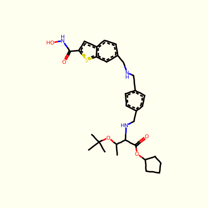 CC(OC(C)(C)C)C(NCc1ccc(CNCc2ccc3cc(C(=O)NO)sc3c2)cc1)C(=O)OC1CCCC1